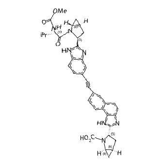 COC(=O)N[C@H](C(=O)N1[C@@H]2C[C@H]2C[C@H]1c1nc2cc(C#Cc3ccc4c(ccc5nc([C@@H]6C[C@H]7C[C@H]7N6C(=O)O)[nH]c54)c3)ccc2[nH]1)C(C)C